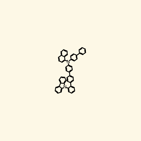 c1ccc(-c2ccc(N(c3ccc(-c4ccc(-c5ccccc5-n5c6ccccc6c6ccccc65)cc4)cc3)c3cccc4ccccc34)cc2)cc1